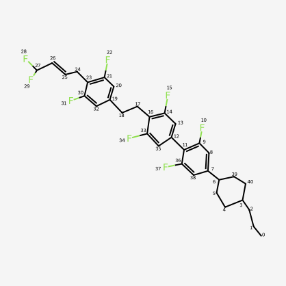 CCCC1CCC(c2cc(F)c(-c3cc(F)c(CCc4cc(F)c(C/C=C/C(F)F)c(F)c4)c(F)c3)c(F)c2)CC1